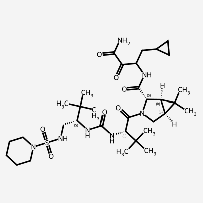 CC(C)(C)[C@H](NC(=O)N[C@H](CNS(=O)(=O)N1CCCCC1)C(C)(C)C)C(=O)N1C[C@H]2[C@@H]([C@H]1C(=O)NC(CC1CC1)C(=O)C(N)=O)C2(C)C